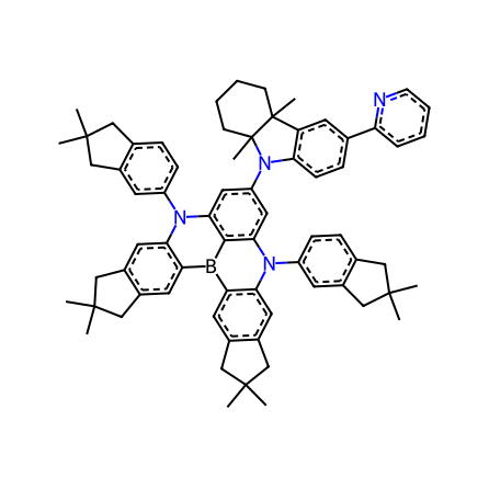 CC1(C)Cc2ccc(N3c4cc5c(cc4B4c6cc7c(cc6N(c6ccc8c(c6)CC(C)(C)C8)c6cc(N8c9ccc(-c%10ccccn%10)cc9C9(C)CCCCC89C)cc3c64)CC(C)(C)C7)CC(C)(C)C5)cc2C1